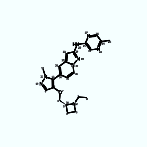 CCN1CC[C@@H]1COc1cnn(C)c1-c1ccn2nc(Nc3cnc(C)cn3)cc2c1